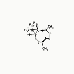 C/C1=C\[C@@H]2[C@@H](CC/C(C)=C/CC1)C2(C)C